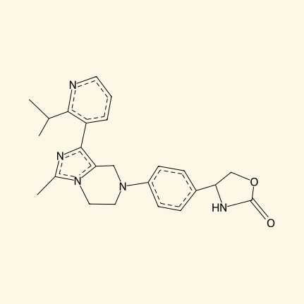 Cc1nc(-c2cccnc2C(C)C)c2n1CCN(c1ccc(C3COC(=O)N3)cc1)C2